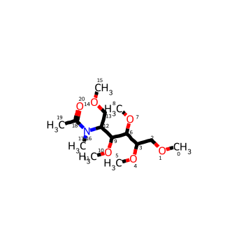 COCC(OC)C(OC)C(OC)C(COC)N(C)C(C)=O